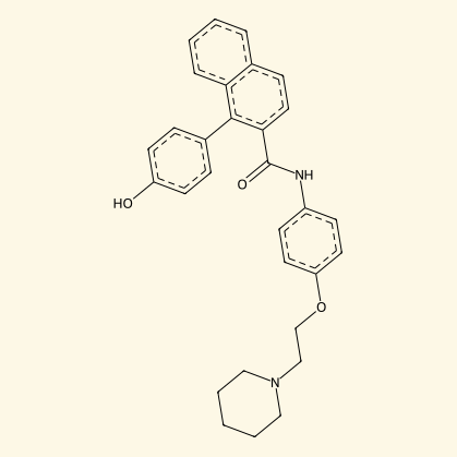 O=C(Nc1ccc(OCCN2CCCCC2)cc1)c1ccc2ccccc2c1-c1ccc(O)cc1